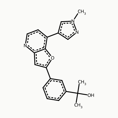 Cn1cc(-c2ccnc3cc(-c4cccc(C(C)(C)O)c4)oc23)cn1